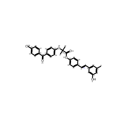 Cc1cc(O)cc(/C=C/c2ccc(OC(=O)C(C)(C)Oc3ccc(C(=O)c4ccc(Cl)cc4)cc3)cc2)c1